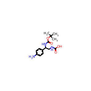 CC(C)(C)OC(=O)NC(CNC(=O)O)c1ccc(N)cc1